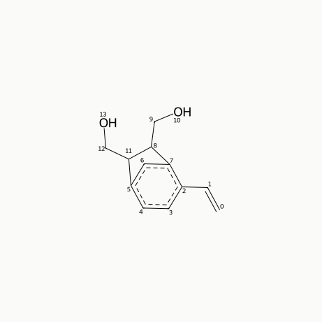 C=Cc1ccc2cc1C(CO)C2CO